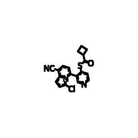 N#Cc1ccc(-c2cnccc2SC(=O)C2CCC2)n2c(Cl)ccc12